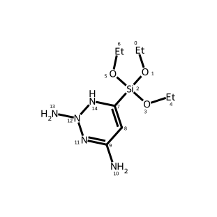 CCO[Si](OCC)(OCC)C1=CC(N)=NN(N)N1